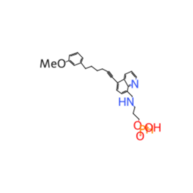 COc1cccc(CCCCC#Cc2ccc(CNCCCO[PH](=O)O)c3ncccc23)c1